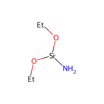 CCO[Si](N)OCC